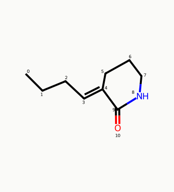 CCCC=C1CCCNC1=O